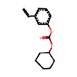 C=Cc1cccc(OC(=O)OC2CCCCC2)c1